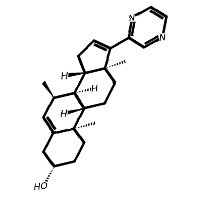 C[C@@H]1C=C2C[C@@H](O)CC[C@]2(C)[C@H]2CC[C@]3(C)C(c4cnccn4)=CC[C@H]3[C@H]12